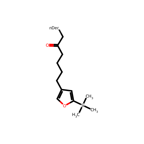 CCCCCCCCCCCC(=O)CCCCc1coc([Si](C)(C)C)c1